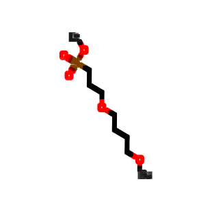 CCOS(=O)(=O)CCCOCCCCOC(C)CC